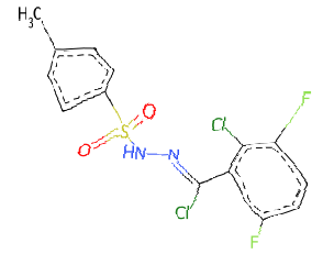 Cc1ccc(S(=O)(=O)N/N=C(\Cl)c2c(F)ccc(F)c2Cl)cc1